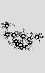 C[C@H](CC[C@@H](O[C@@H]1O[C@H](CO[C@@H]2O[C@H](CO)[C@@H](O)[C@H](O)[C@H]2O)[C@@H](O)[C@H](O)[C@H]1O[C@H]1O[C@@H](CO)[C@H](O)[C@@H](O)[C@@H]1O)C(C)(C)O)C1CC[C@@]2(C)C3CC=C4C(CC[C@H](O[C@@H]5O[C@H](CO)[C@@H](O)[C@H](O)[C@H]5O[C@H]5O[C@@H](CO[C@@H]6O[C@H](C)[C@@H](O)[C@H](O)[C@H]6O)[C@H](O)[C@@H](O)[C@@H]5O)C4(C)C)[C@]3(C)[C@H](O)C[C@]12C